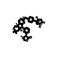 C[C@H]1COC(=O)N1c1cccc(N2c3nc(Nc4ccc(N5C[C@H]6C[C@@H]5CN6)cc4)ncc3[C@]3(C)COC(C)(C)C[C@H]23)n1